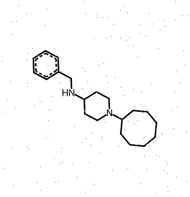 c1ccc(CNC2CCN(C3CCCCCCC3)CC2)cc1